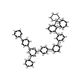 c1ccc(-c2ccc(-c3nc(-c4ccccc4)nc(-c4ccc(-c5cccc(-c6cccc(-c7cccc8c7-c7ccccc7C87CCCCC7)c6)c5)cc4)n3)cc2)cc1